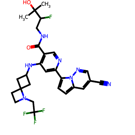 CC(C)(O)C(F)CNC(=O)c1cnc(-c2ccc3cc(C#N)cnn23)cc1NC1CC2(CCN2CC(F)(F)F)C1